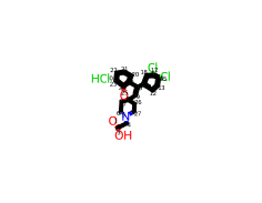 Cl.O=C(O)CN1CCC2(C=C(c3ccc(Cl)c(Cl)c3)c3ccccc3O2)CC1